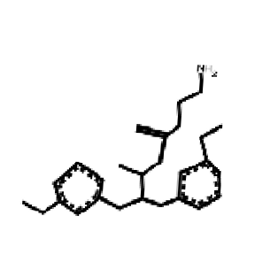 C=C(CCCN)CC(C)C(Cc1cccc(CC)c1)Cc1cccc(CC)c1